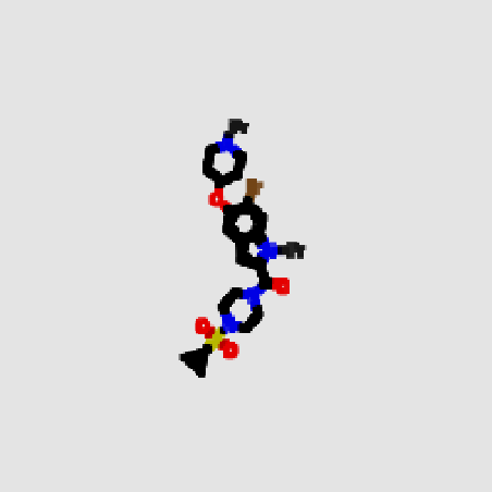 CC(C)N1CCC(Oc2cc3cc(C(=O)N4CCN(S(=O)(=O)C5CC5)CC4)n(C(C)C)c3cc2Br)CC1